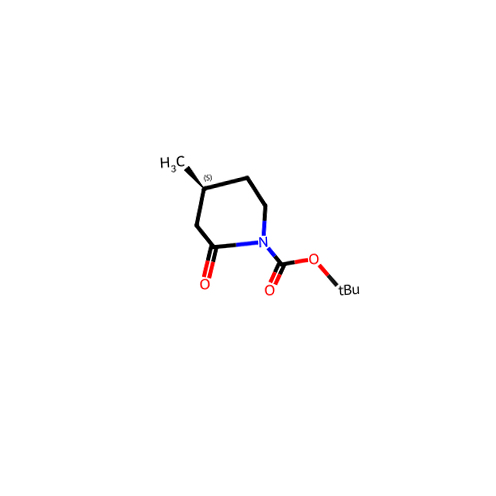 C[C@H]1CCN(C(=O)OC(C)(C)C)C(=O)C1